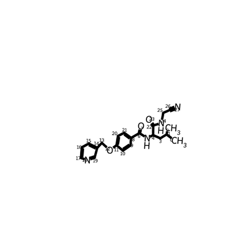 CC(C)CC(NC(=O)c1ccc(OCc2cccnc2)cc1)C(=O)NCC#N